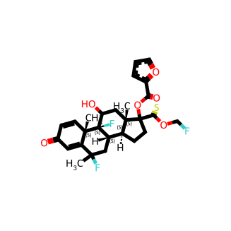 CC1(F)C[C@H]2[C@@H]3CCC(OC(=O)c4ccco4)(C(=S)OCF)[C@@]3(C)CC(O)[C@@]2(F)[C@@]2(C)C=CC(=O)C=C12